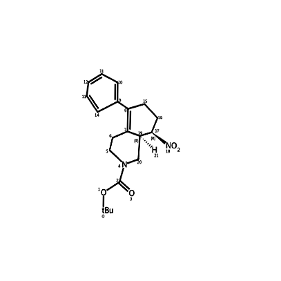 CC(C)(C)OC(=O)N1CCC2=C(c3ccccc3)CC[C@@H]([N+](=O)[O-])[C@H]2C1